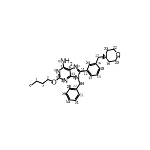 CCCCOc1nc(N)c2nc(-c3cccc(CN4CCOCC4)c3)n(Cc3ccccc3)c2n1